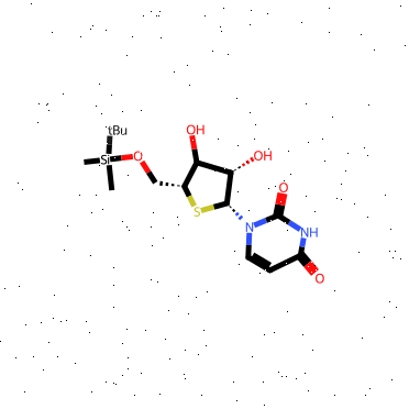 CC(C)(C)[Si](C)(C)OC[C@H]1S[C@@H](n2ccc(=O)[nH]c2=O)[C@@H](O)C1O